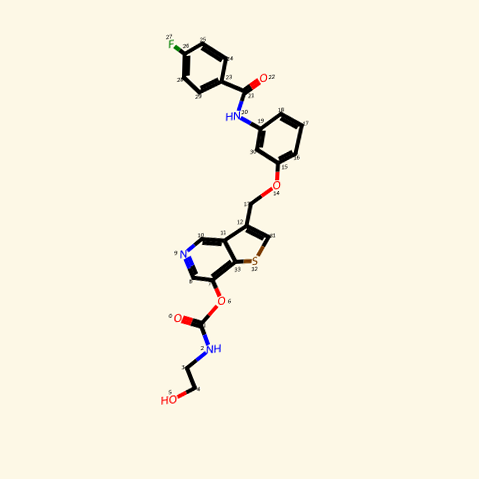 O=C(NCCO)Oc1cncc2c(COc3cccc(NC(=O)c4ccc(F)cc4)c3)csc12